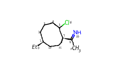 CC[C@H]1CCCC(Cl)[C@@H](C(C)=N)CC1